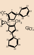 CC1=[C]([Zr+2]2([C]3=C(C)C=C(c4ccccc4)C3)[CH2][CH2]2)CC(c2ccccc2)=C1.[Cl-].[Cl-]